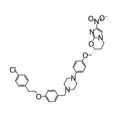 O=[N+]([O-])c1cn2c(n1)O[C@@H](COc1ccc(N3CCN(Cc4ccc(OCCc5ccc(Cl)cc5)cc4)CC3)cc1)CC2